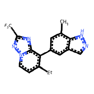 CCc1ccn2nc(C(F)(F)F)nc2c1-c1cc(C)c2[nH]ncc2c1